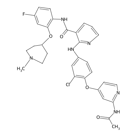 CC(=O)Nc1cc(Oc2ccc(Nc3ncccc3C(=O)Nc3ccc(F)cc3OC3CCN(C)CC3)cc2Cl)ccn1